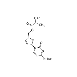 CC(=O)Nc1ccn([C@H]2C=C[C@@H](COC(=O)C(C)OC(C)=O)O2)c(=O)n1